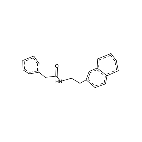 O=C(Cc1ccccc1)NCCc1ccc2ccccc2c1